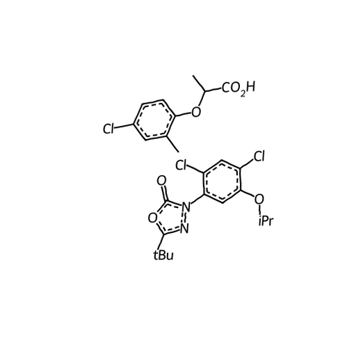 CC(C)Oc1cc(-n2nc(C(C)(C)C)oc2=O)c(Cl)cc1Cl.Cc1cc(Cl)ccc1OC(C)C(=O)O